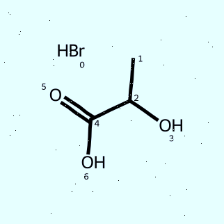 Br.CC(O)C(=O)O